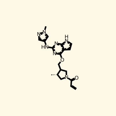 C=CC(=O)N1CC(COc2nc(Nc3cnn(C)c3)nc3[nH]ccc23)[C@@H](C)C1